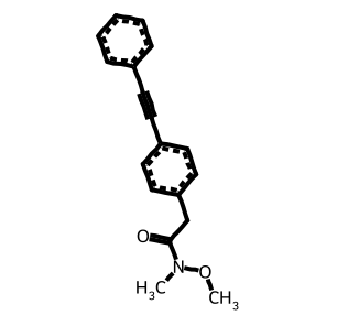 CON(C)C(=O)Cc1ccc(C#Cc2ccccc2)cc1